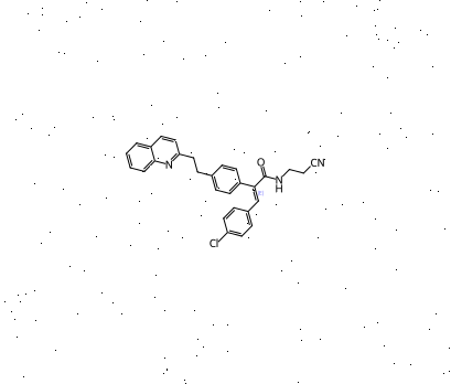 N#CCCNC(=O)/C(=C/c1ccc(Cl)cc1)c1ccc(CCc2ccc3ccccc3n2)cc1